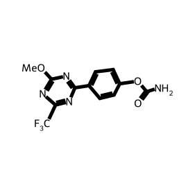 COc1nc(-c2ccc(OC(N)=O)cc2)nc(C(F)(F)F)n1